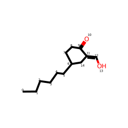 CCCCCCC1CCC(=O)C(=CO)C1